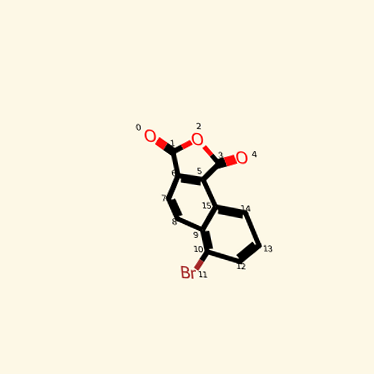 O=C1OC(=O)c2c1ccc1c(Br)cccc21